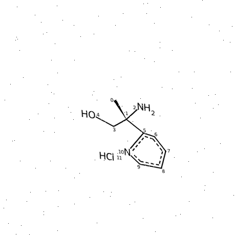 C[C@](N)(CO)c1ccccn1.Cl